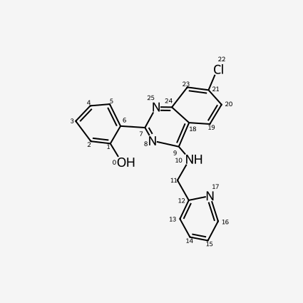 Oc1ccccc1-c1nc(NCc2ccccn2)c2ccc(Cl)cc2n1